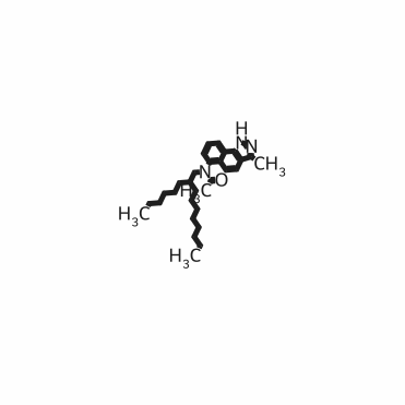 CCCCCCCCC(CCCCCC)CN(C(C)=O)c1cccc2c1ccc1c(C)n[nH]c12